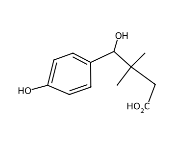 CC(C)(CC(=O)O)C(O)c1ccc(O)cc1